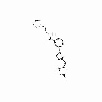 O=C1NC(=S)S/C1=C/c1ccc(-c2cccc(C(=O)NCCN3CCCC3)c2)o1